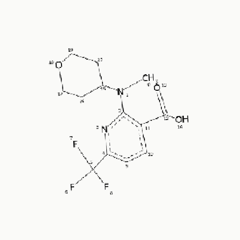 CN(c1nc(C(F)(F)F)ccc1C(=O)O)C1CCOCC1